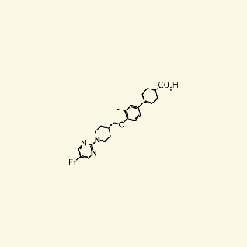 CCc1cnc(N2CCC(COc3ccc(C4=CCC(C(=O)O)CC4)cc3C)CC2)nc1